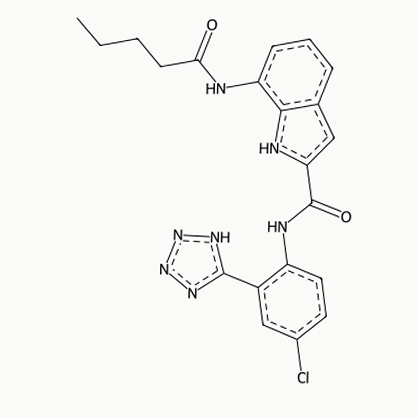 CCCCC(=O)Nc1cccc2cc(C(=O)Nc3ccc(Cl)cc3-c3nnn[nH]3)[nH]c12